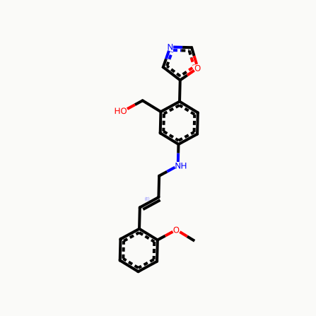 COc1ccccc1/C=C/CNc1ccc(-c2cnco2)c(CO)c1